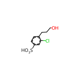 O=S(=O)(O)c1ccc(CCCO)c(Cl)c1